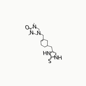 CN1CN(CC2=CCCC(Cc3c[nH]c(=S)[nH]3)C2)CN(C)C1=O